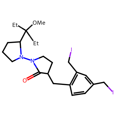 CCC(CC)(OC)C1CCCN1N1CCC(Cc2ccc(CI)cc2CI)C1=O